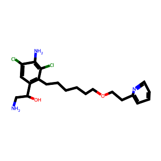 NCC(O)c1cc(Cl)c(N)c(Cl)c1CCCCCCOCCc1ccccn1